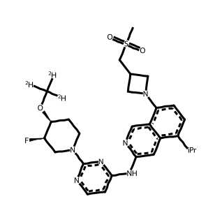 [2H]C([2H])([2H])O[C@H]1CCN(c2nccc(Nc3cc4c(C(C)C)ccc(N5CC(CS(C)(=O)=O)C5)c4cn3)n2)C[C@H]1F